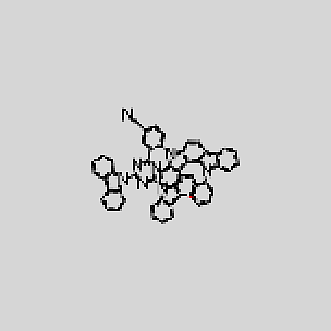 N#Cc1ccc(-n2c3ccccc3c3c2ccc2c4ccccc4n(-c4ccccc4)c23)c(-c2nc(-n3c4ccccc4c4ccccc43)nc(-n3c4ccccc4c4ccccc43)n2)c1